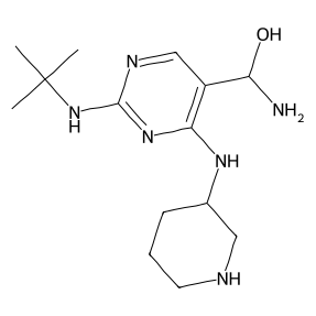 CC(C)(C)Nc1ncc(C(N)O)c(NC2CCCNC2)n1